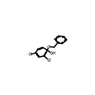 OC1(OCc2ccccc2)C=CC(Cl)=CC1Cl